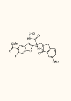 COC(=O)c1cc2cc([C@@](N)(CN3Cc4ccc(OC)cc4C3=O)C(=O)NC=O)oc2cc1F